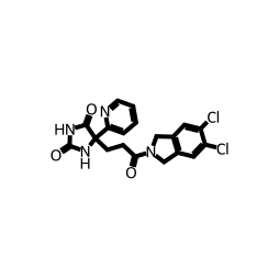 O=C1NC(=O)C(CCC(=O)N2Cc3cc(Cl)c(Cl)cc3C2)(c2ccccn2)N1